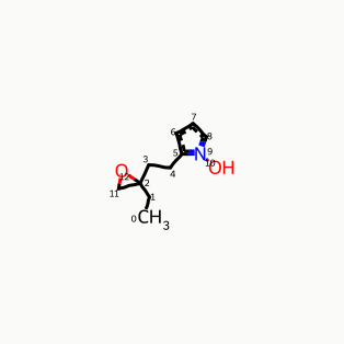 CCC1(CCc2cccn2O)CO1